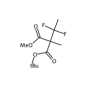 COC(=O)C(C)(C(=O)OC(C)(C)C)C(C)(F)F